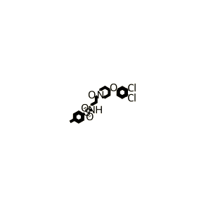 Cc1ccc(S(=O)(=O)NCCC(=O)N2CCC(Oc3ccc(Cl)c(Cl)c3)CC2)cc1